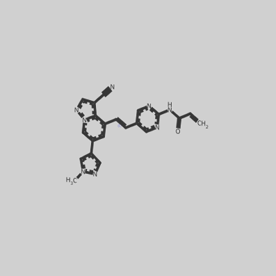 C=CC(=O)Nc1ncc(/C=C/c2cc(-c3cnn(C)c3)cn3ncc(C#N)c23)cn1